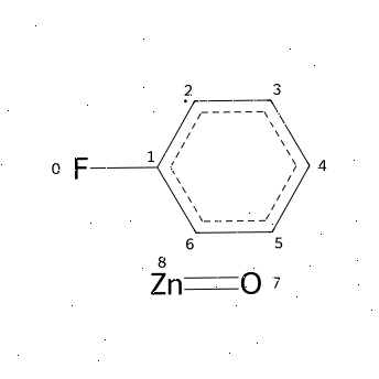 Fc1[c]cccc1.[O]=[Zn]